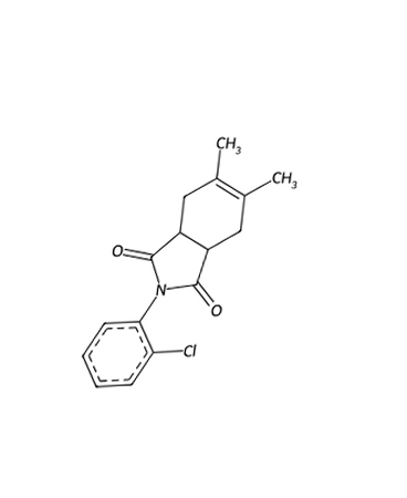 CC1=C(C)CC2C(=O)N(c3ccccc3Cl)C(=O)C2C1